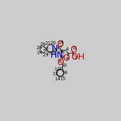 O=C(O)CC[C@@H](NC(=O)OCc1ccccc1)C(=O)N1CCC2(CCCC2)CC1